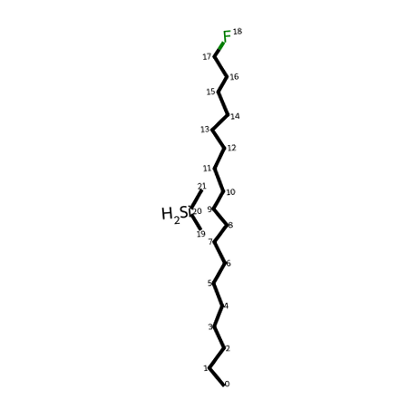 CCCCCCCCCCCCCCCCCCF.C[SiH2]C